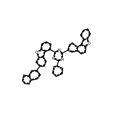 c1ccc(-c2nc(-c3ccc4c(ccc5oc6ccccc6c54)c3)nc(-c3cccc4oc5cc(-c6ccc7ccccc7c6)ccc5c34)n2)cc1